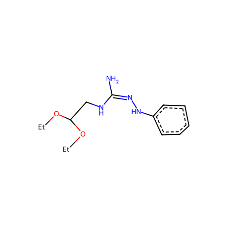 CCOC(CNC(N)=NNc1ccccc1)OCC